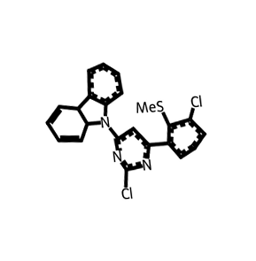 CSc1c(Cl)cccc1-c1cc(N2c3ccccc3C3C=CC=CC32)nc(Cl)n1